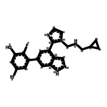 CCc1cc(O)c(F)c(-c2cc(-c3nccn3CNCC3CC3)c3cn[nH]c3c2)c1